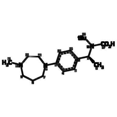 C[C@@H](c1ccc(N2CCCN(C)CC2)cc1)N(C(=O)O)C(C)(C)C